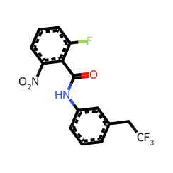 O=C(Nc1cccc(CC(F)(F)F)c1)c1c(F)cccc1[N+](=O)[O-]